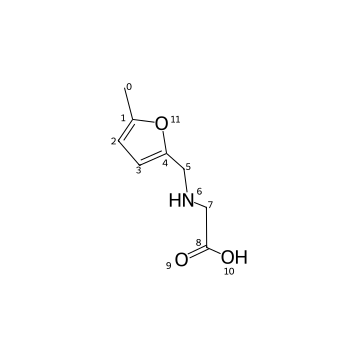 Cc1ccc(CNCC(=O)O)o1